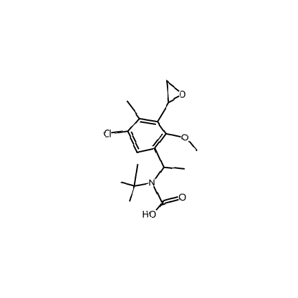 COc1c(C(C)N(C(=O)O)C(C)(C)C)cc(Cl)c(C)c1C1CO1